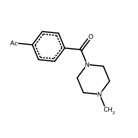 CC(=O)c1ccc(C(=O)N2CCN(C)CC2)cc1